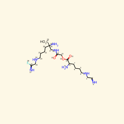 N=CCNCCCCC(N)C(=O)OCC(=O)NCC(N)(CCCCNCC(=N)F)C(=O)O